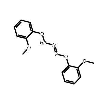 COc1ccccc1OP=NPOc1ccccc1OC